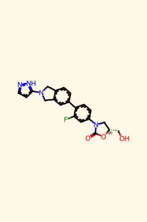 O=C1O[C@@H](CO)CN1c1ccc(-c2ccc3c(c2)CN(c2ccn[nH]2)C3)c(F)c1